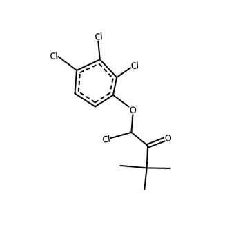 CC(C)(C)C(=O)C(Cl)Oc1ccc(Cl)c(Cl)c1Cl